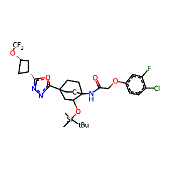 CC(C)(C)[Si](C)(C)OC1CC2(c3nnc([C@H]4C[C@@H](OC(F)(F)F)C4)o3)CCC1(NC(=O)COc1ccc(Cl)c(F)c1)CC2